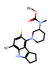 CN(C(=O)OC(C)(C)C)[C@H]1CCCN(c2c(F)cc(C#N)c3[nH]c4c(c23)CCC4)C1